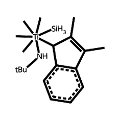 CC1=C(C)[CH]([Ti]([CH3])([CH3])([CH3])([CH3])([SiH3])[NH]C(C)(C)C)c2ccccc21